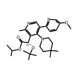 COc1ccc(-c2cnc(C)c([C@H](OC(C)(C)C)C(=O)OC(C)C)c2N2CCC(C)(C)CC2)nc1